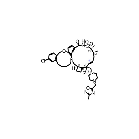 CO[C@@]1(CN2CCN(Cc3nc(C)no3)CC2)/C=C/C[C@H](C)[C@@H](C)S(=O)(=O)NC(=O)c2ccc3c(c2)N(CCCCc2cc(Cl)ccc2CO3)C[C@@H]2CC[C@H]21